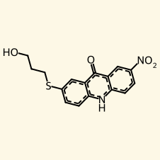 O=c1c2cc(SCCCO)ccc2[nH]c2ccc([N+](=O)[O-])cc12